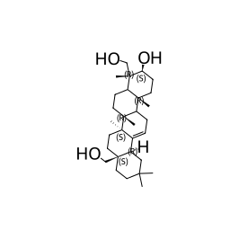 CC1(C)CC[C@]2(CO)CC[C@]3(C)C(=CCC4[C@@]5(C)CC[C@H](O)[C@@](C)(CO)C5CC[C@]43C)[C@H]2C1